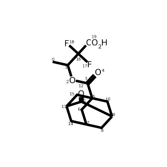 CC(OC(=O)C12CC3CC(C1)C(=O)C(C3)C2)C(F)(F)C(=O)O